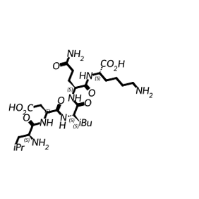 CC[C@H](C)[C@H](NC(=O)[C@H](CC(=O)O)NC(=O)[C@@H](N)CC(C)C)C(=O)N[C@@H](CCC(N)=O)C(=O)N[C@@H](CCCCN)C(=O)O